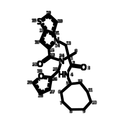 CC1(C(=O)NC2CCCCCCC2)Cn2c(cc3sccc32)C(=O)N1Cc1ccco1